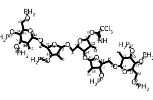 CC1C(OCC2OC(OC(=N)C(Cl)(Cl)Cl)C(C)C2OC2OC(COC3OC(COP)C(OP)C(OP)C3C)C(OP)C2C)OC(COC2OC(COP)C(OP)C(OP)C2C)C1OP